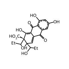 CCC(O)C1(C)C=C2C(=O)c3cc(O)cc(O)c3C(=O)C2=C(O)[C@@]1(C(=O)O)C(O)CC